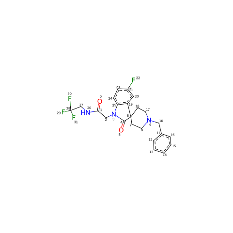 O=C(CN1C(=O)C2(CCN(Cc3ccccc3)CC2)c2cc(F)ccc21)NCC(F)(F)F